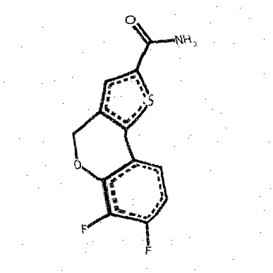 NC(=O)c1cc2c(s1)-c1ccc(F)c(F)c1OC2